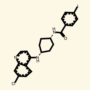 O=C(N[C@H]1CC[C@@H](Nc2ccnc3cc(Cl)ccc23)CC1)c1ccc(I)cc1